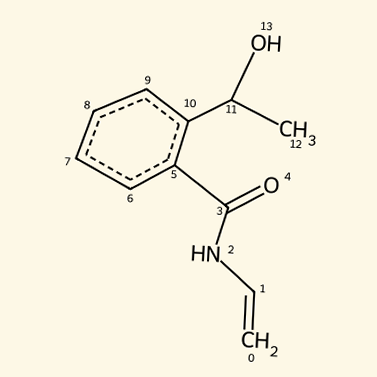 C=CNC(=O)c1ccccc1C(C)O